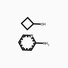 Nc1ccccn1.OC1CCC1